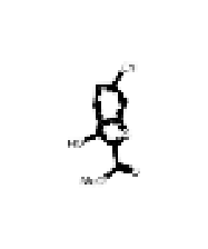 COC(=O)c1sc2cc(C#N)ccc2c1O